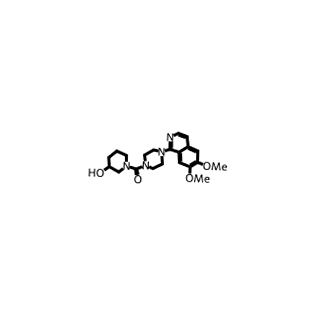 COc1cc2ccnc(N3CCN(C(=O)N4CCCC(O)C4)CC3)c2cc1OC